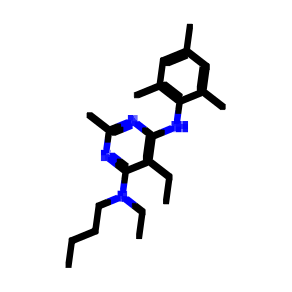 CCCCN(CC)c1nc(C)nc(Nc2c(C)cc(C)cc2C)c1CC